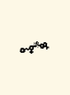 CC(C)C1C=Cc2cc(-c3nc(-c4ccc(CCc5ccccc5)c(C(C)(C)C)c4)no3)ccc21